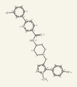 Cn1ncc(CN2CCC(NC(=O)c3ccc(-c4cccc(F)c4)nc3)CC2)c1-c1ccc(F)cc1